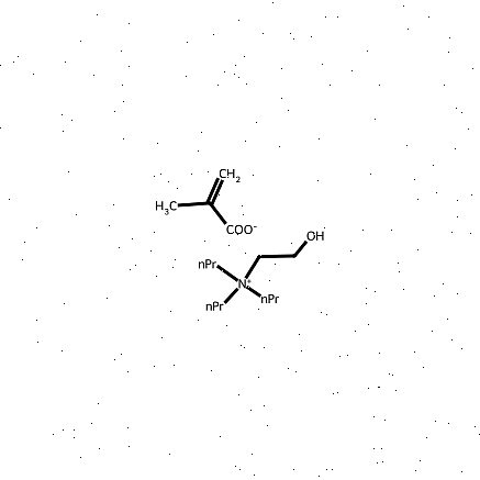 C=C(C)C(=O)[O-].CCC[N+](CCC)(CCC)CCO